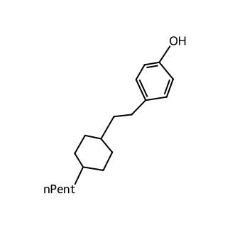 CCCCCC1CCC(CCc2ccc(O)cc2)CC1